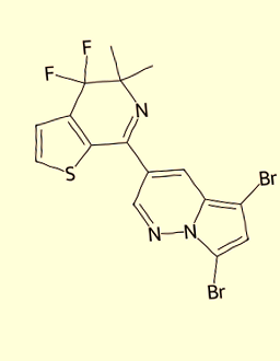 CC1(C)N=C(c2cnn3c(Br)cc(Br)c3c2)c2sccc2C1(F)F